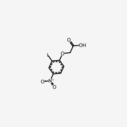 O=C(O)COc1ccc([N+](=O)[O-])cc1I